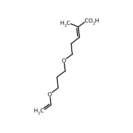 C=COCCCOCCC=C(C)C(=O)O